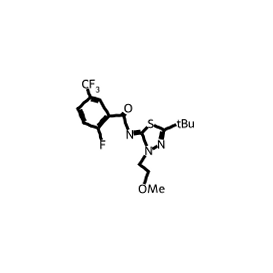 COCCn1nc(C(C)(C)C)sc1=NC(=O)c1cc(C(F)(F)F)ccc1F